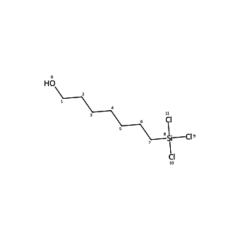 OCCCCCCC[Si](Cl)(Cl)Cl